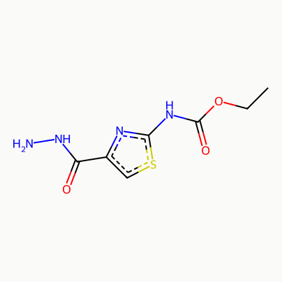 CCOC(=O)Nc1nc(C(=O)NN)cs1